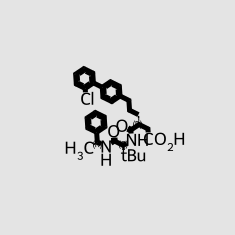 C[C@@H](NC(=O)[C@@H](NC(=O)[C@H](CCCc1ccc(-c2ccccc2Cl)cc1)CC(=O)O)C(C)(C)C)c1ccccc1